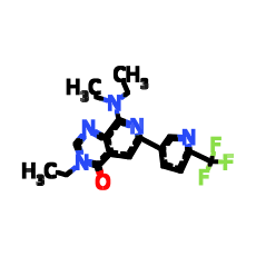 CCN(CC)c1nc(-c2ccc(C(F)(F)F)nc2)cc2c(=O)n(CC)cnc12